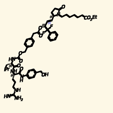 CCOC(=O)CCCCCCN1C(=O)CC[C@@H]1/C=C/[C@@H](OC(=O)Cc1ccc(COC(=O)N[C@@H](CC(C)C)C(=O)N[C@@H](CCCNC(=N)N)C(=O)Nc2ccc(CO)cc2)cc1)C(F)(F)c1ccccc1